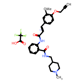 C#CCOc1ccc(/C=C/C(=O)Nc2ccccc2C(=O)NCC2CCN(C)CC2)cc1OC.O=C(O)C(F)(F)F